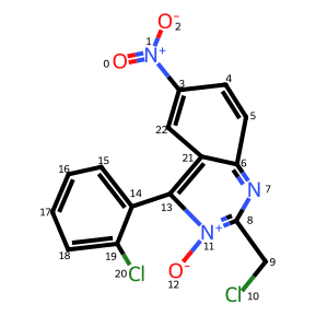 O=[N+]([O-])c1ccc2nc(CCl)[n+]([O-])c(-c3ccccc3Cl)c2c1